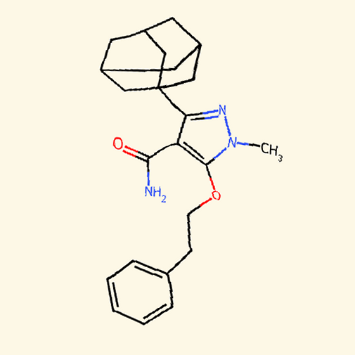 Cn1nc(C23CC4CC(CC(C4)C2)C3)c(C(N)=O)c1OCCc1ccccc1